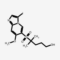 COc1cc2ncc(I)n2cc1S(=O)(=O)C(C)(C)CCCO